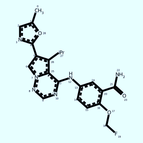 Cc1cnc(-c2cn3ncnc(Nc4ccc(OCF)c(C(N)=O)c4)c3c2C(C)C)o1